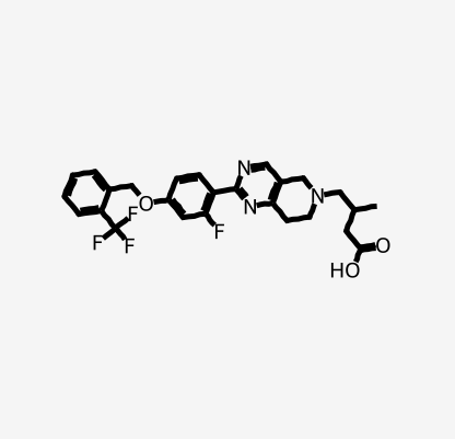 CC(CC(=O)O)CN1CCc2nc(-c3ccc(OCc4ccccc4C(F)(F)F)cc3F)ncc2C1